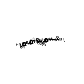 C=CC(=O)OCCCCOc1ccc(C(=O)O/C(C)=C(C)/C(C)=C(\C)OC(=O)c2ccc(COc3ccc(B(O)O)cc3)cc2)cc1